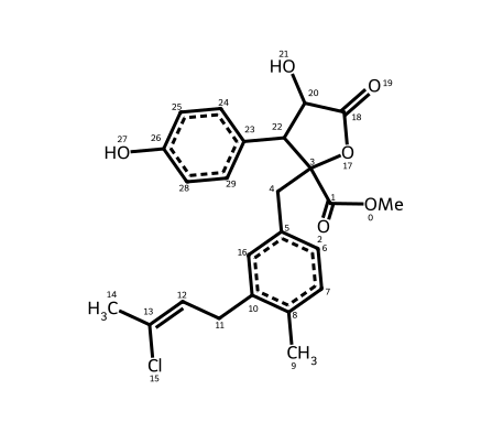 COC(=O)C1(Cc2ccc(C)c(C/C=C(/C)Cl)c2)OC(=O)C(O)C1c1ccc(O)cc1